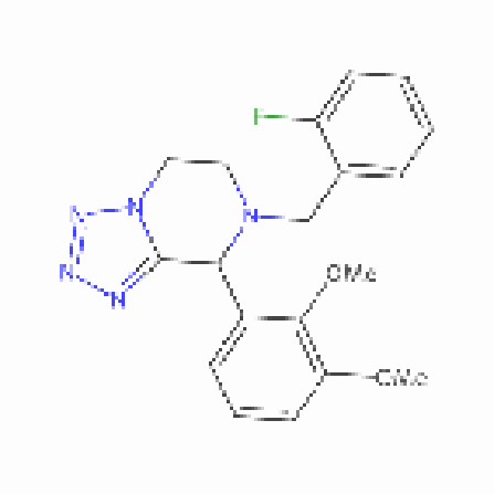 COc1cccc(C2c3nnnn3CCN2Cc2ccccc2F)c1OC